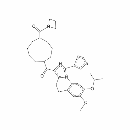 COc1cc2c(cc1OC(C)C)-n1c(-c3ccsc3)nc(C(=O)C3CCCCC(C(=O)N4CCC4)CCC3)c1CC2